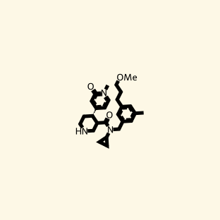 COCCCc1cc(C)cc(CN(C(=O)C2CNCC[C@@H]2c2ccn(C)c(=O)c2)C2CC2)c1